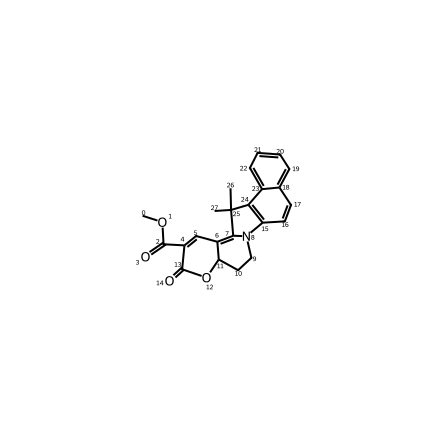 COC(=O)C1=CC2=C3N(CCC2OC1=O)c1ccc2ccccc2c1C3(C)C